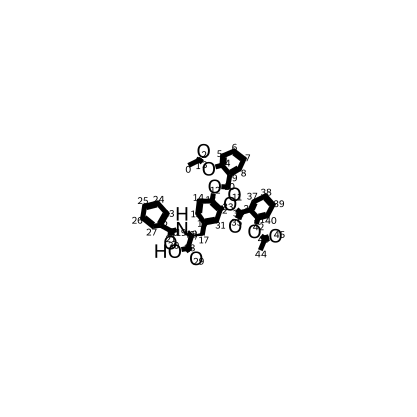 CC(=O)Oc1ccccc1C(=O)Oc1ccc(C[C@H](NC(=O)c2ccccc2)C(=O)O)cc1OC(=O)c1ccccc1OC(C)=O